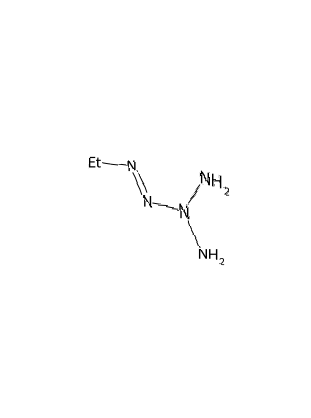 CCN=NN(N)N